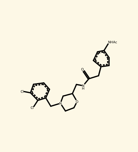 CC(=O)Nc1ccc(CC(=O)NCC2CN(Cc3cccc(Cl)c3Cl)CCO2)cc1